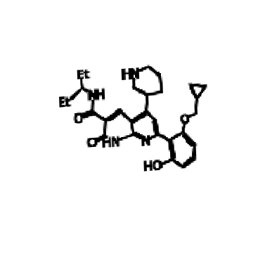 CCC(CC)NC(=O)c1cc2c(C3CCCNC3)cc(-c3c(O)cccc3OCC3CC3)nc2[nH]c1=O